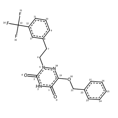 O=c1[nH]c(=O)n(CCc2cccc(C(F)(F)F)c2)nc1OCc1ccccc1